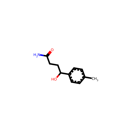 Cc1ccc(C(O)CCC(N)=O)cc1